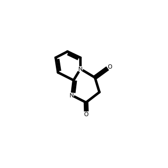 O=C1CC(=O)N2C=CC=CC2=N1